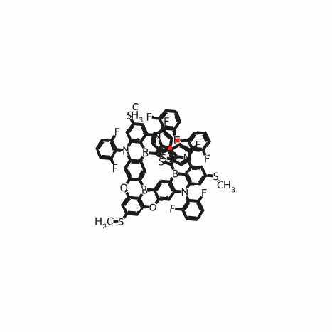 CSc1cc2c3c(c1)Oc1cc4c(cc1B3c1cc3c(cc1O2)N(c1c(F)cccc1F)c1cc(SC)cc2c1B3c1sc3ccc(F)cc3c1N2c1c(F)cccc1F)B1c2sc3ccc(F)cc3c2N(c2c(F)cccc2F)c2cc(SC)cc(c21)N4c1c(F)cccc1F